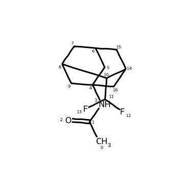 CC(=O)NC12CC3CC(C1)C(C(F)F)C(C3)C2